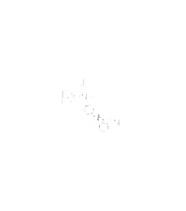 NC(=O)c1cccc2cn(-c3ccc(CNC4(OC(=O)C(F)(F)F)CC(F)(F)C4)cc3)nc12